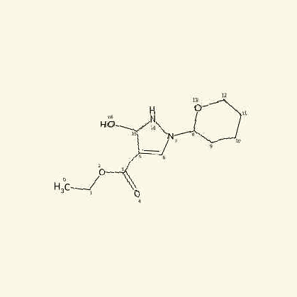 CCOC(=O)C1=CN(C2CCCCO2)NC1O